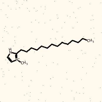 CCCCCCCCCCCCCCc1[nH]cc[n+]1C